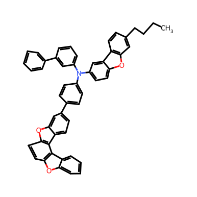 CCCCc1ccc2c(c1)oc1ccc(N(c3ccc(-c4ccc5c(c4)oc4ccc6oc7ccccc7c6c45)cc3)c3cccc(-c4ccccc4)c3)cc12